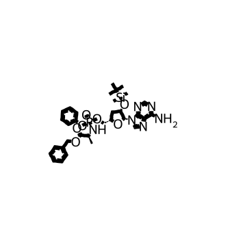 C[C@H](NP(=O)(OC[C@@H]1C[C@@H](O[Si](C)(C)C(C)(C)C)[C@H](n2cnc3c(N)ncnc32)O1)Oc1ccccc1)C(=O)OCc1ccccc1